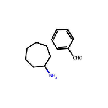 NC1CCCCCC1.O=Cc1ccccc1